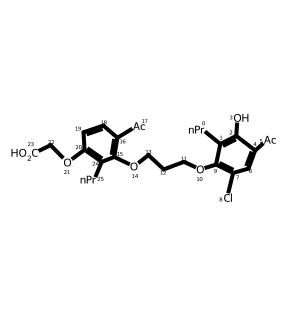 CCCc1c(O)c(C(C)=O)cc(Cl)c1OCCCOc1c(C(C)=O)ccc(OCC(=O)O)c1CCC